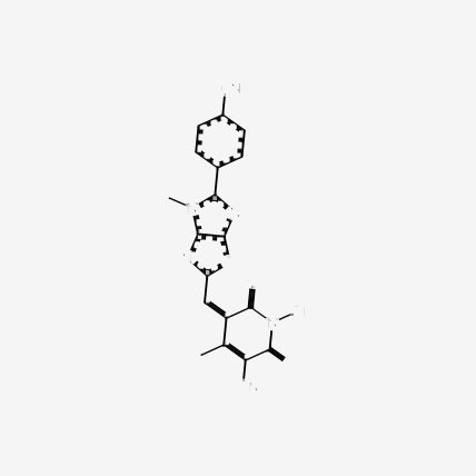 CCN1C(=O)C(C#N)=C(C)/C(=C/c2nc3c(nc(-c4ccc(C#N)cc4)n3C)o2)C1=O